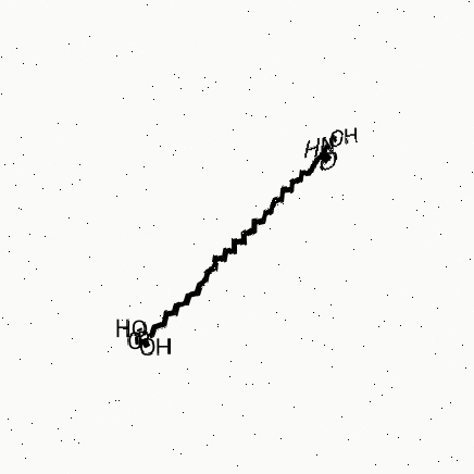 O=C(CCCCCCCCCCCCCCCCCCCCCCCCCCCCCCCCCCP(=O)(O)O)NO